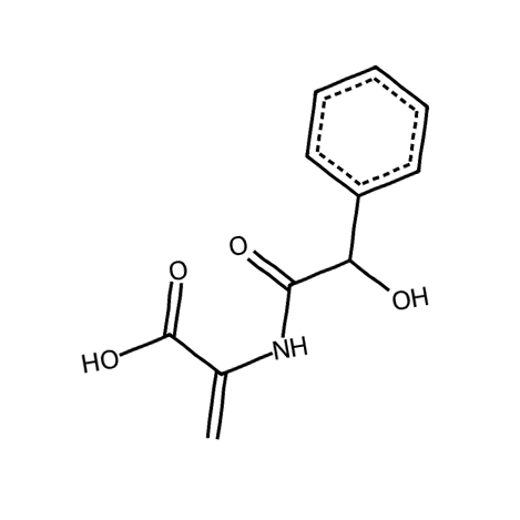 C=C(NC(=O)C(O)c1ccccc1)C(=O)O